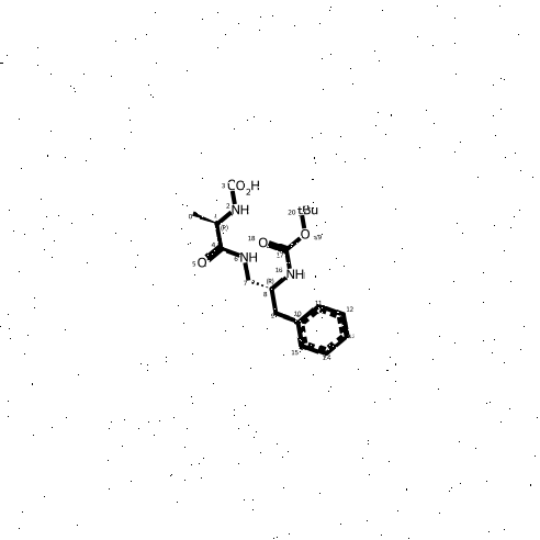 C[C@@H](NC(=O)O)C(=O)NC[C@@H](Cc1ccccc1)NC(=O)OC(C)(C)C